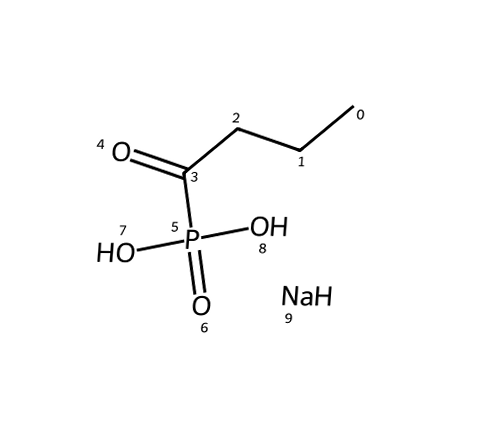 CCCC(=O)P(=O)(O)O.[NaH]